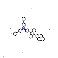 c1ccc(-c2ccc(N(c3ccc(-c4ccccc4)cc3)c3ccc(-c4c5c(c(-c6cc7ccc8cccc9ccc(c6)c7c89)c6c4CCCC6)CCCC5)cc3)cc2)cc1